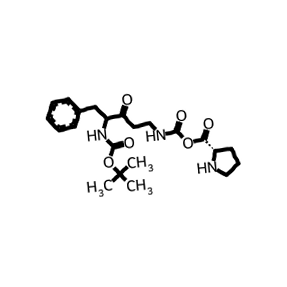 CC(C)(C)OC(=O)NC(Cc1ccccc1)C(=O)CCNC(=O)OC(=O)[C@@H]1CCCN1